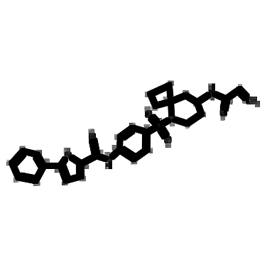 C=CC(=O)NC1CCN(S(=O)(=O)c2ccc(NC(=O)c3ccc(-c4ccccc4)o3)cc2)C2(CCC2)C1